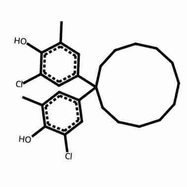 Cc1cc(C2(c3cc(C)c(O)c(Cl)c3)CCCCCCCCCCC2)cc(Cl)c1O